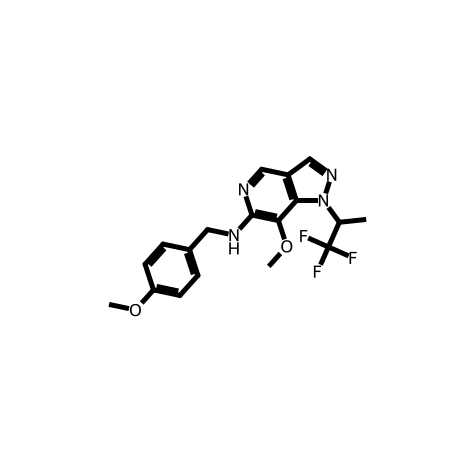 COc1ccc(CNc2ncc3cnn(C(C)C(F)(F)F)c3c2OC)cc1